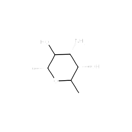 CC1O[C@H](C)C(O)[C@H](N)[C@@H]1O